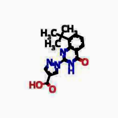 CC(C)(C)c1cccc2c(=O)[nH]c(-n3cc(C(=O)O)cn3)nc12